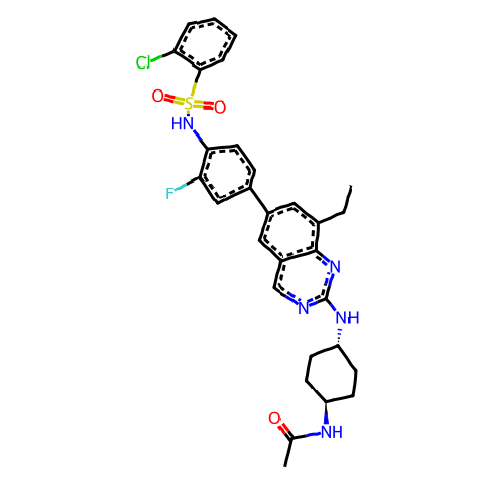 CCc1cc(-c2ccc(NS(=O)(=O)c3ccccc3Cl)c(F)c2)cc2cnc(N[C@H]3CC[C@H](NC(C)=O)CC3)nc12